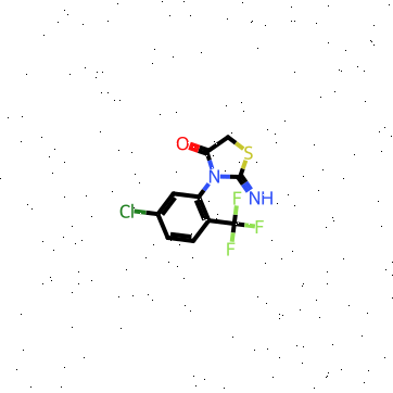 N=C1SCC(=O)N1c1cc(Cl)ccc1C(F)(F)F